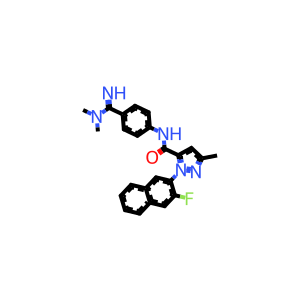 Cc1cc(C(=O)Nc2ccc(C(=N)N(C)C)cc2)n(-c2cc3ccccc3cc2F)n1